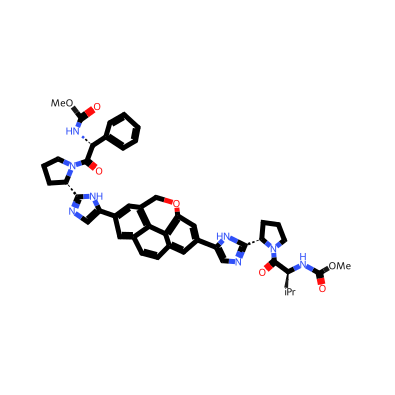 COC(=O)N[C@H](C(=O)N1CCC[C@H]1c1ncc(-c2cc3c4c(ccc5cc(-c6cnc([C@@H]7CCCN7C(=O)[C@H](NC(=O)OC)c7ccccc7)[nH]6)cc(c54)CO3)c2)[nH]1)C(C)C